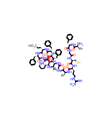 CC[C@H](C)[C@H](NC(=O)[C@@H](NC(=O)[C@H](CCCNC(=N)N)NC(=O)[C@H](CS)NC(=O)CNC(=O)[C@H](Cc1ccccc1)NC(=O)[C@@H](N)C(C)C)C(C)C)C(=O)N[C@@H](CCC(N)=O)C(=O)N[C@@H](CCCCN)C(=O)N[C@@H](Cc1ccccc1)C(=O)N[C@@H](Cc1ccccc1)C(=O)N[C@@H](CCC(=O)O)C(=O)N[C@@H](Cc1ccccc1)C(=O)NCC(=O)O